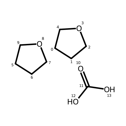 C1CCOC1.C1CCOC1.O=C(O)O